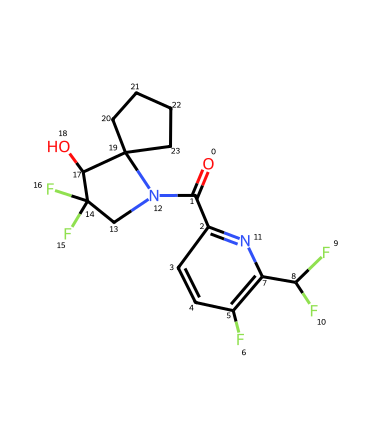 O=C(c1ccc(F)c(C(F)F)n1)N1CC(F)(F)C(O)C12CCCC2